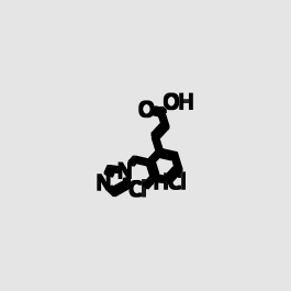 Cl.O=C(O)C=Cc1cccc(Cl)c1Cn1ccnc1